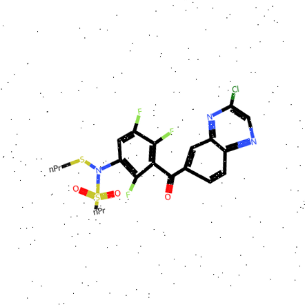 CCCSN(c1cc(F)c(F)c(C(=O)c2ccc3ncc(Cl)nc3c2)c1F)S(=O)(=O)CCC